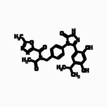 CC(=O)N(Cc1ccc(-n2c(-c3cc(C(C)C)c(O)cc3O)n[nH]c2=O)cc1)C(=O)c1nnc(C)o1